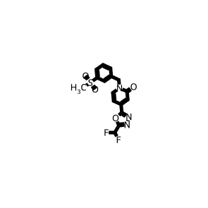 CS(=O)(=O)c1cccc(Cn2ccc(-c3nnc(C(F)F)o3)cc2=O)c1